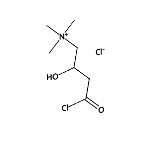 C[N+](C)(C)CC(O)CC(=O)Cl.[Cl-]